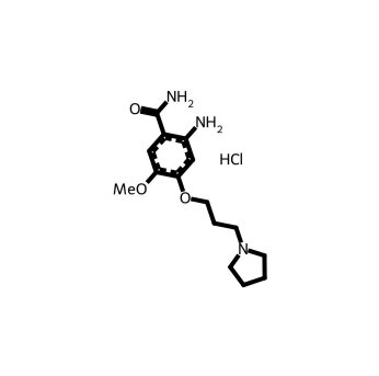 COc1cc(C(N)=O)c(N)cc1OCCCN1CCCC1.Cl